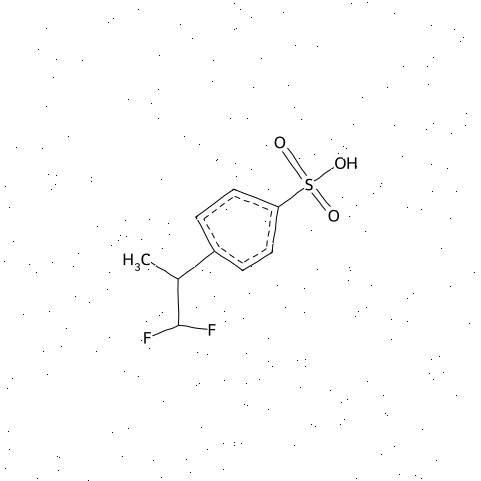 CC(c1ccc(S(=O)(=O)O)cc1)C(F)F